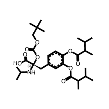 CC(C)N[C@@](Cc1ccc(OC(=O)C(C)C(C)C)c(OC(=O)C(C)C(C)C)c1)(OC(=O)OCC(C)(C)C)C(=O)O